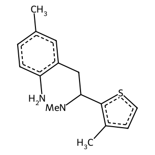 CNC(Cc1cc(C)ccc1N)c1sccc1C